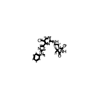 CN(c1ccccc1)c1ncc(-c2nc(NCCN3C(=O)NC(=O)C3(C)C)ncc2Cl)s1